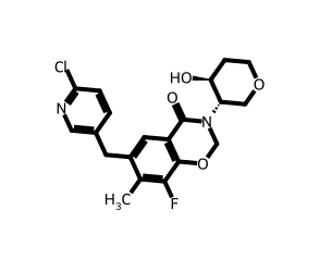 Cc1c(Cc2ccc(Cl)nc2)cc2c(c1F)OCN([C@H]1COCC[C@@H]1O)C2=O